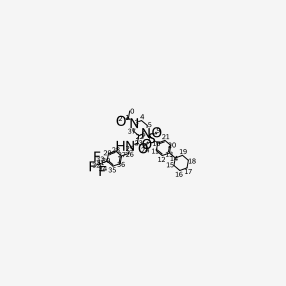 CC(=O)N1CCN(S(=O)(=O)c2ccc(C3CCCCC3)cc2)C(C(=O)NCc2ccc(C(F)(F)F)cc2)C1